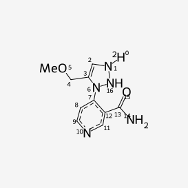 [2H]N1C=C(COC)N(c2ccncc2C(N)=O)N1